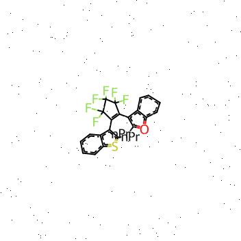 CCCc1oc2ccccc2c1C1=C(c2c(CCC)sc3ccccc23)C(F)(F)C(F)(F)C1(F)F